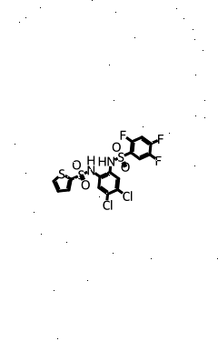 O=S(=O)(Nc1cc(Cl)c(Cl)cc1NS(=O)(=O)c1cc(F)c(F)cc1F)c1cccs1